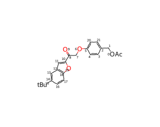 CC(=O)OCc1ccc(OCC(=O)c2cc3cc(C(C)(C)C)ccc3o2)cc1